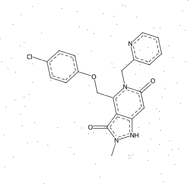 Cn1[nH]c2cc(=O)n(Cc3ccccn3)c(COc3ccc(Cl)cc3)c2c1=O